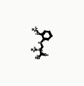 COc1ccccc1OC[C@@H](N)C(=O)O